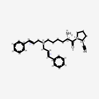 N#C[C@@H]1CCCN1C(=O)[C@@H](N)CCCCN(C/C=C/c1ccccc1)C/C=C/c1ccccc1